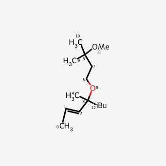 CC=CC(C)(OCCC(C)(C)OC)C(C)CC